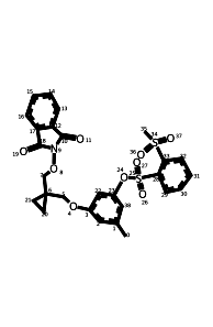 Cc1cc(OCC2(CON3C(=O)c4ccccc4C3=O)CC2)cc(OS(=O)(=O)c2ccccc2S(C)(=O)=O)c1